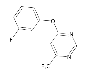 Fc1cccc(Oc2cc(C(F)(F)F)ncn2)c1